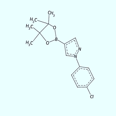 CC1(C)OB(c2cnn(-c3ccc(Cl)cc3)c2)OC1(C)C